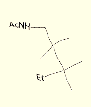 CCC(C)(C)C(C)(C)CNC(C)=O